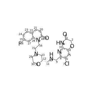 O=C1COc2cc(Cl)c(CNC[C@H]3CN(CCn4c(=O)ccc5ccc(F)cc54)CCO3)nc2N1